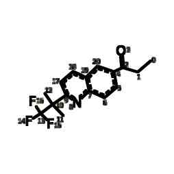 CCC(=O)c1ccc2nc(C(C)(C)C(F)(F)F)ccc2c1